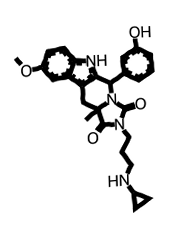 COc1ccc2[nH]c3c(c2c1)CC1(C)C(=O)N(CCCNC2CC2)C(=O)N1C3c1cccc(O)c1